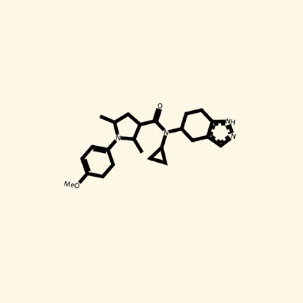 COC1=CC=C(N2C(C)CC(C(=O)N(C3CC3)C3CCc4[nH]ncc4C3)C2C)CC1